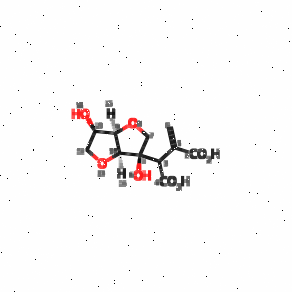 C=C(C(=O)O)C(C(=O)O)[C@@]1(O)CO[C@@H]2[C@H](O)CO[C@@H]21